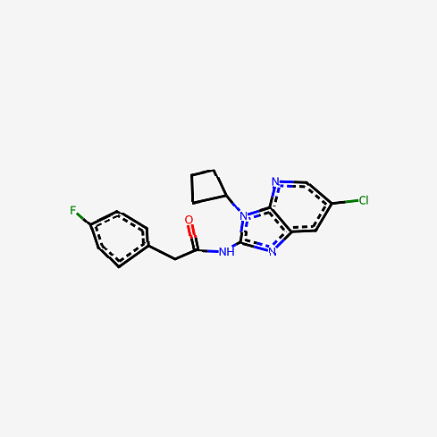 O=C(Cc1ccc(F)cc1)Nc1nc2cc(Cl)cnc2n1C1CCC1